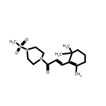 CC1=C(C=CC(=O)N2CCN(S(C)(=O)=O)CC2)C(C)(C)CCC1